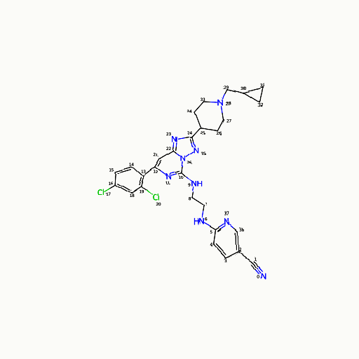 N#Cc1ccc(NCCNc2nc(-c3ccc(Cl)cc3Cl)cc3nc(C4CCN(CC5CC5)CC4)nn23)nc1